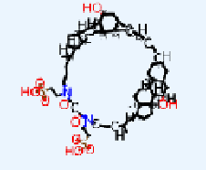 C[C@H]1CCCN(CCS(=O)(=O)O)C(=O)CC(=O)N(CCS(=O)(=O)O)CCC[C@H](C)[C@H]2CC[C@H]3[C@@H]4[C@@H](O)CC5C[C@H](CCC[C@H]6CC[C@]7(C)C(C6)C[C@@H](O)[C@@H]6[C@H]8CC[C@H]1[C@]8(C)CC[C@H]67)CC[C@]5(C)[C@H]4CC[C@]23C